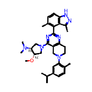 CO[C@H]1CN(c2nc(-c3c(C)ccc4[nH]nc(C)c34)nc3c2CN(c2cc(C(C)C)ccc2C)CC3)C[C@@H]1N(C)C